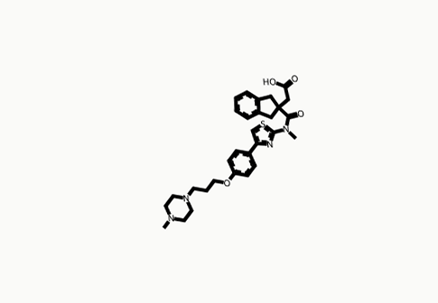 CN1CCN(CCCOc2ccc(-c3csc(N(C)C(=O)C4(CC(=O)O)Cc5ccccc5C4)n3)cc2)CC1